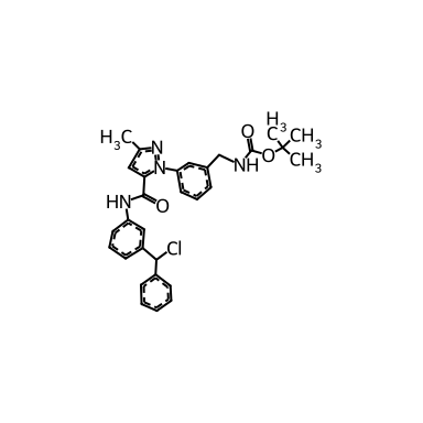 Cc1cc(C(=O)Nc2cccc(C(Cl)c3ccccc3)c2)n(-c2cccc(CNC(=O)OC(C)(C)C)c2)n1